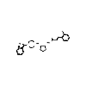 Cc1ccccc1/C=C/C(=O)NC[C@H]1CCC[C@@H]1CN1CCN(c2nsc3ccccc23)CC1